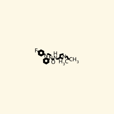 CC(C)CN1CCC(CNC(=O)N2CCN(c3ccc(F)cc3)c3ccccc32)C1